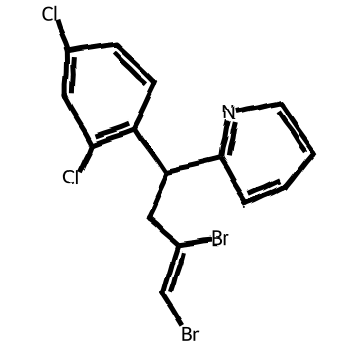 Clc1ccc(C(CC(Br)=CBr)c2[c]cccn2)c(Cl)c1